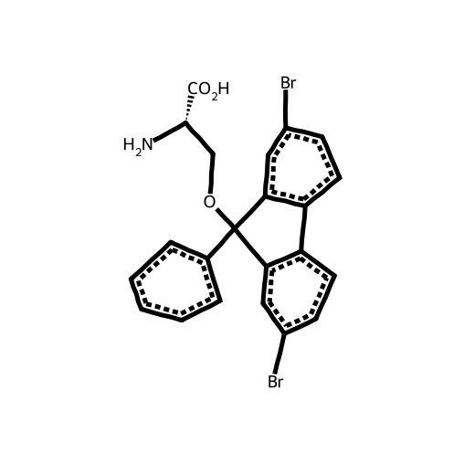 N[C@@H](COC1(c2ccccc2)c2cc(Br)ccc2-c2ccc(Br)cc21)C(=O)O